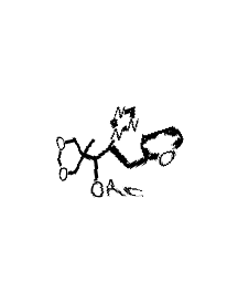 CC(=O)OC(C(=Cc1ccco1)n1cncn1)C1(C)COCOC1